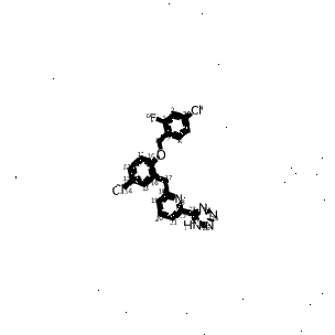 Fc1cc(Cl)ccc1COc1ccc(Cl)cc1Cc1cccc(-c2nnn[nH]2)n1